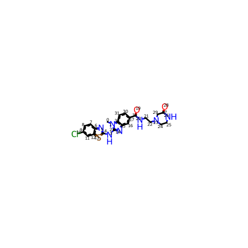 Cn1c(Nc2nc3ccc(Cl)cc3s2)nc2cc(C(=O)NCCN3CCNC(=O)C3)ccc21